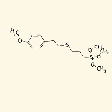 COc1ccc(CCSCCC[Si](OC)(OC)OC)cc1